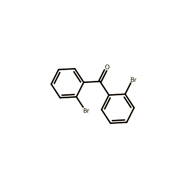 O=C(c1ccccc1Br)c1ccccc1Br